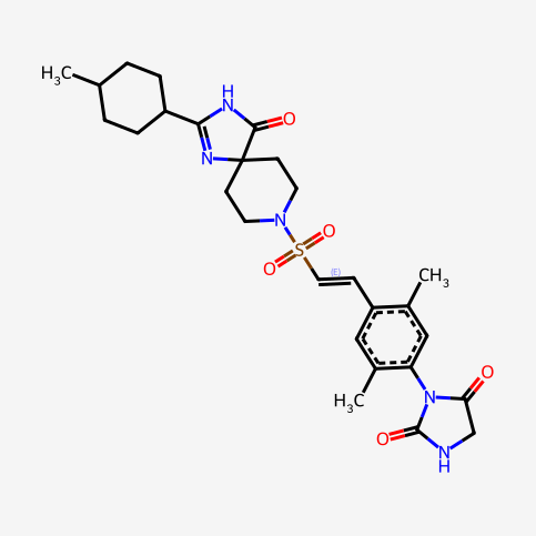 Cc1cc(N2C(=O)CNC2=O)c(C)cc1/C=C/S(=O)(=O)N1CCC2(CC1)N=C(C1CCC(C)CC1)NC2=O